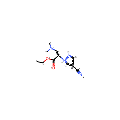 CCOC(=O)/C(=C\N(C)C)n1cc(C#N)cn1